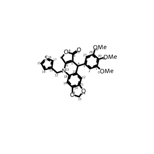 COc1cc(C2C3=C(COC3=O)N(Cc3ccsc3)c3cc4c(cc32)OCO4)cc(OC)c1OC